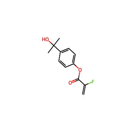 C=C(F)C(=O)Oc1ccc(C(C)(C)O)cc1